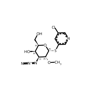 CO[C@@H]1[C@@H](N=[N+]=[N-])[C@@H](O)[C@@H](CO)O[C@@H]1Sc1cncc(Cl)c1